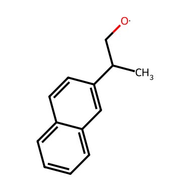 CC(C[O])c1ccc2ccccc2c1